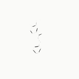 Cc1cc(C(=O)CNc2ccccc2)ccc1F